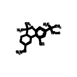 CCCCCC(C)(C)c1cc(O)c2c(c1)OC(C)(C)C1CCC(O[N+](=O)[O-])CC21